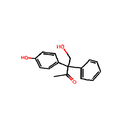 CC(=O)C(CO)(c1ccccc1)c1ccc(O)cc1